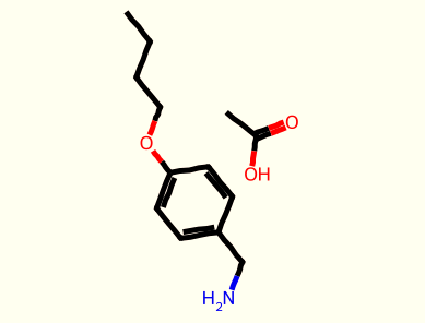 CC(=O)O.CCCCOc1ccc(CN)cc1